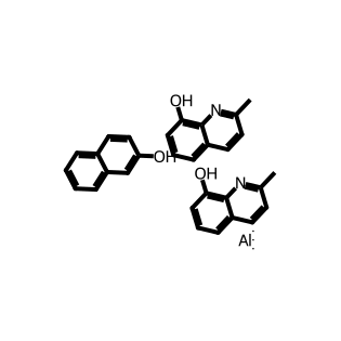 Cc1ccc2cccc(O)c2n1.Cc1ccc2cccc(O)c2n1.Oc1ccc2ccccc2c1.[Al]